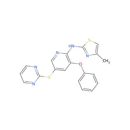 Cc1csc(Nc2ncc(Sc3ncccn3)cc2Oc2ccccc2)n1